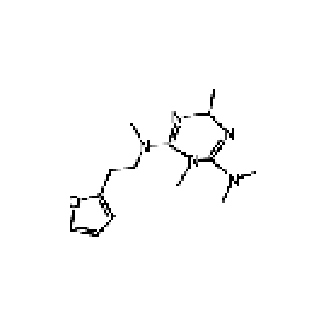 CC1N=C(N(C)C)N(C)C(N(C)CCc2ccco2)=N1